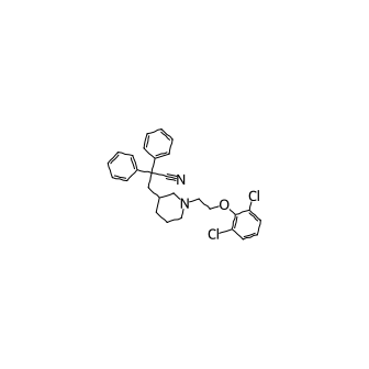 N#CC(CC1CCCN(CCOc2c(Cl)cccc2Cl)C1)(c1ccccc1)c1ccccc1